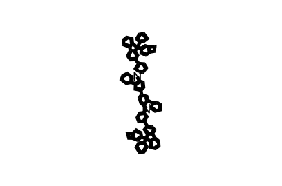 C1=Cc2c(c3cc(-c4ccc5c(c4)c4ccccc4n5-c4cccc(-c5ccc6c(c5)C(c5ccccc5)(c5ccc7c(c5)CC7)c5ccccc5-6)c4)ccc3n2-c2cccc(-c3ccc4c(c3)C(c3ccccc3)(c3ccc5c(c3)CC5)c3ccccc3-4)c2)CC1